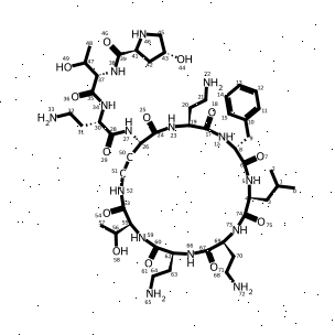 CC(C)C[C@@H]1NC(=O)[C@@H](Cc2ccccc2)NC(=O)[C@H](CCN)NC(=O)[C@@H](NC(=O)[C@H](CCN)NC(=O)[C@@H](NC(=O)[C@@H]2C[C@@H](O)CN2)C(C)O)CCNC(=O)[C@H](C(C)O)NC(=O)[C@H](CCN)NC(=O)[C@H](CCN)NC1=O